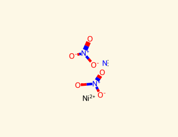 O=[N+]([O-])[O-].O=[N+]([O-])[O-].[N].[Ni+2]